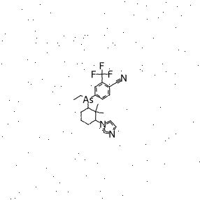 CC[As](c1ccc(C#N)c(C(F)(F)F)c1)C1CCCC(n2ccnc2)C1(C)C